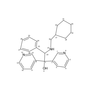 OC(c1cccnc1)(c1cccnc1)C(NCC1CCCCC1)c1ccccc1